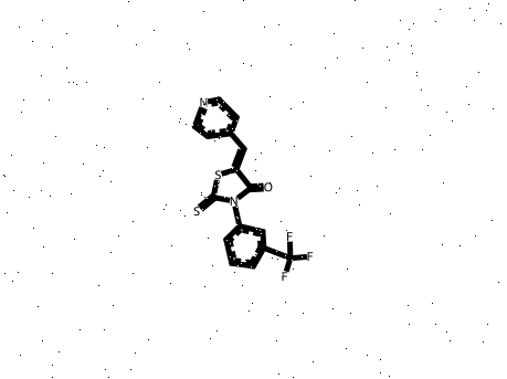 O=C1C(=Cc2ccncc2)SC(=S)N1c1cccc(C(F)(F)F)c1